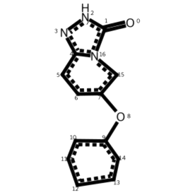 O=c1[nH]nc2ccc(Oc3ccccc3)cn12